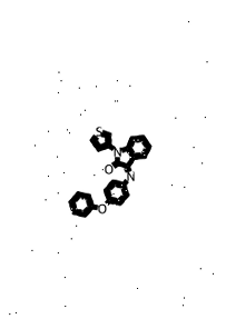 O=C1C(=Nc2ccc(Oc3ccccc3)cc2)c2ccccc2N1c1ccsc1